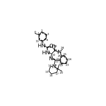 Cc1cccc(NC(=O)N[C@@H]2N=C(N3CCCCC3(C)C)c3ccccc3N(C)C2=O)c1